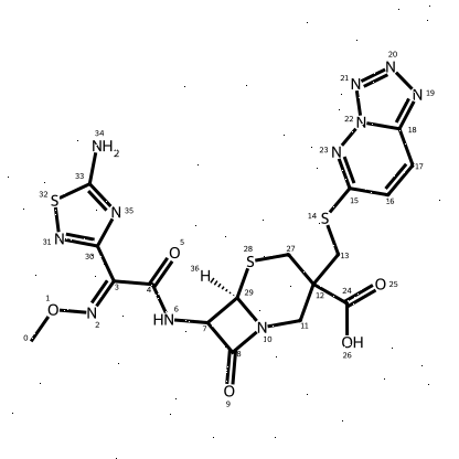 CON=C(C(=O)NC1C(=O)N2CC(CSc3ccc4nnnn4n3)(C(=O)O)CS[C@H]12)c1nsc(N)n1